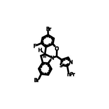 CCCc1ncc(C2Oc3cc(Br)cc(F)c3[C@@H]3Cc4cc(Br)ccc4N23)s1